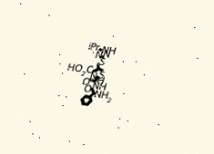 CC(C)c1nc(SCC2=C(C(=O)O)N3C(=O)C(NC(=O)C(N)c4ccccc4)[C@@H]3SC2)n[nH]1